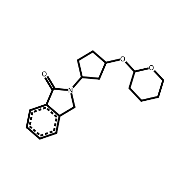 O=C1c2ccccc2CN1C1CCC(OC2CCCCO2)C1